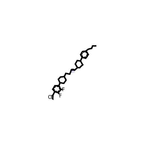 CCCCc1ccc(C2CCC(/C=C/CCC3CCC(c4ccc(C5CO5)c(F)c4F)CC3)CC2)cc1